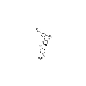 CSN1CCC(Nc2ncc(F)c(-c3sc(C4COC4)nc3C)n2)CC1